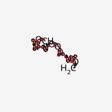 C=Cc1ccc(OCCC2(c3ccccc3)c3ccccc3-c3ccc(N(c4ccccc4)c4ccc(-c5ccc6c(c5)c5ccccc5n6-c5ccc(COCc6ccc(COCc7ccc(-n8c9ccccc9c9cc(-c%10ccc(N(c%11ccccc%11)c%11ccc%12c(c%11)C(CCOc%11ccc(C=C)cc%11)(c%11ccccc%11)c%11ccccc%11-%12)cc%10)ccc98)cc7)cc6)cc5)cc4)cc32)cc1